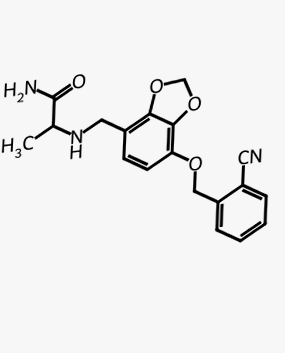 CC(NCc1ccc(OCc2ccccc2C#N)c2c1OCO2)C(N)=O